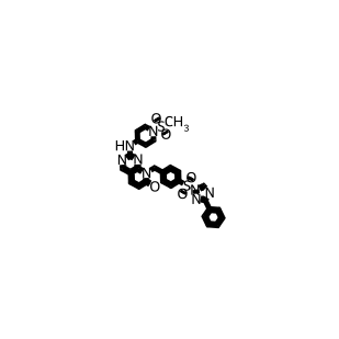 CS(=O)(=O)N1CCC(Nc2ncc3ccc(=O)n(Cc4ccc(S(=O)(=O)n5cnc(-c6ccccc6)n5)cc4)c3n2)CC1